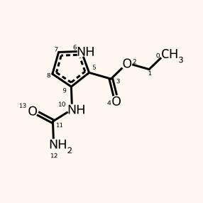 CCOC(=O)c1[nH]ccc1NC(N)=O